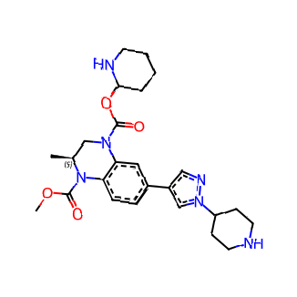 COC(=O)N1c2ccc(-c3cnn(C4CCNCC4)c3)cc2N(C(=O)OC2CCCCN2)C[C@@H]1C